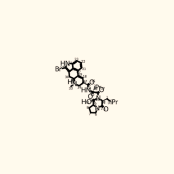 CC(C)C[C@H]1C(=O)N2CCCC2[C@]2(O)O[C@](NC(=O)[C@@H]3C=C4c5cccc6[nH]c(Br)c(c56)C[C@@H]4N(C)C3)(C(C)C)C(=O)N12